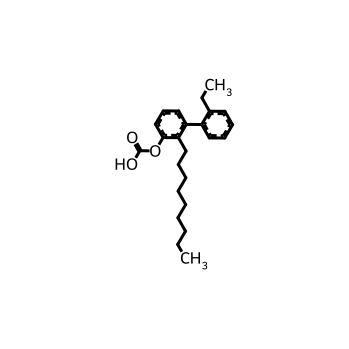 CCCCCCCCCc1c(OC(=O)O)cccc1-c1ccccc1CC